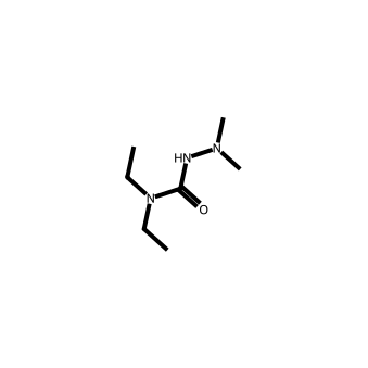 CCN(CC)C(=O)NN(C)C